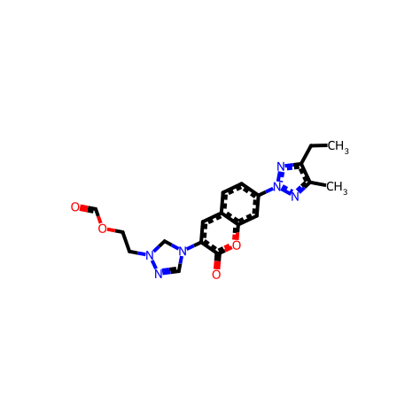 CCc1nn(-c2ccc3cc(N4C=NN(CCOC=O)C4)c(=O)oc3c2)nc1C